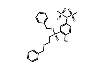 CS(=O)(=O)N(c1ccc([N+](=O)[O-])c(P(=O)(CCOCc2ccccc2)OCc2ccccc2)c1)S(C)(=O)=O